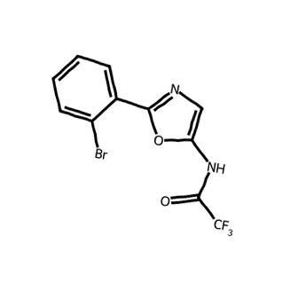 O=C(Nc1cnc(-c2ccccc2Br)o1)C(F)(F)F